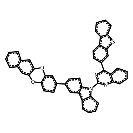 c1ccc2cc3c(cc2c1)Oc1ccc(-c2ccc4c(c2)c2ccccc2n4-c2nc(-c4ccc5c(c4)sc4ccccc45)c4ccccc4n2)cc1O3